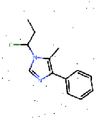 CCC(Cl)n1cnc(-c2ccccc2)c1C